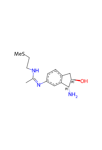 CSCCNC(C)=Nc1ccc2c(c1)[C@@H](N)[C@H](O)C2